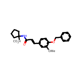 COc1cc(C=CC(=O)NC2(C(=O)O)CCCC2)ccc1OCc1ccccc1